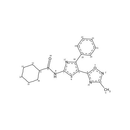 Cc1noc(-c2sc(NC(=O)C3CCCCC3)nc2-c2ccccc2)n1